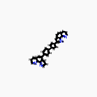 c1cnc2c(c1)ccc1cc(-c3ccc(-c4ccc(-c5cc6cccnc6c6ncccc56)cc4)cc3)cnc12